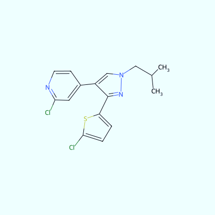 CC(C)Cn1cc(-c2ccnc(Cl)c2)c(-c2ccc(Cl)s2)n1